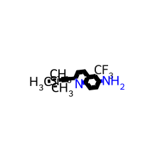 C[Si](C)(C)C#Cc1ccc2c(C(F)(F)F)c(N)ccc2n1